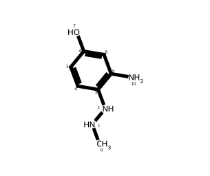 CNNc1ccc(O)cc1N